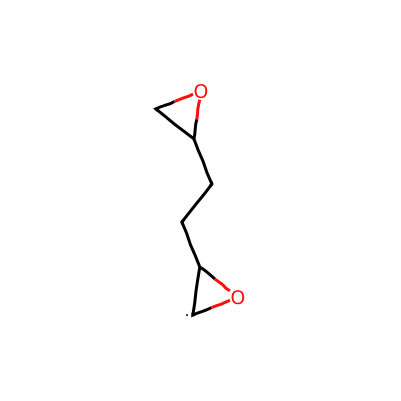 [CH]1OC1CCC1CO1